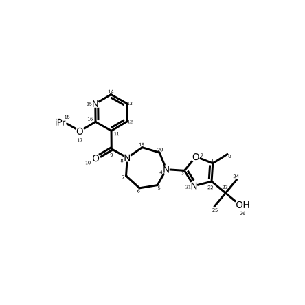 Cc1oc(N2CCCN(C(=O)c3cccnc3OC(C)C)CC2)nc1C(C)(C)O